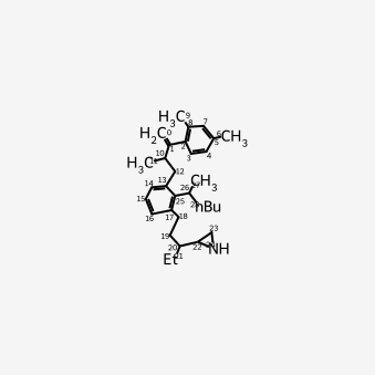 C=C(c1ccc(C)cc1C)C(C)Cc1cccc(CCC(CC)C2CN2)c1C(C)CCCC